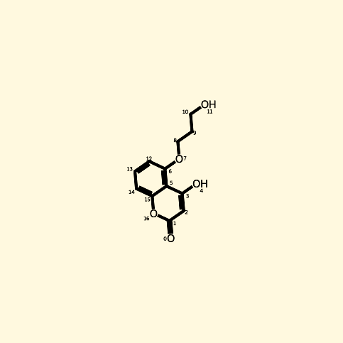 O=c1cc(O)c2c(OCCCO)cccc2o1